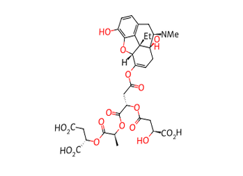 CC[C@]12c3c4ccc(O)c3O[C@H]1C(OC(=O)C[C@H](OC(=O)C[C@H](O)C(=O)O)C(=O)O[C@@H](C)C(=O)O[C@@H](CC(=O)O)C(=O)O)=CC[C@@]2(O)[C@H](NC)C4